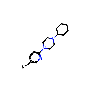 N#Cc1ccc(N2CCN(C3CCCCC3)CC2)nc1